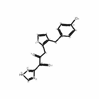 O=C(Cc1occc1Cc1ccc(Cl)cc1)C(=O)c1nc[nH]n1